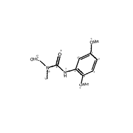 COc1ccc(OC)c(NC(=O)N(C)C=O)c1